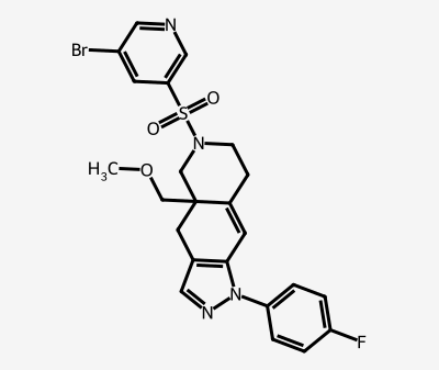 COCC12Cc3cnn(-c4ccc(F)cc4)c3C=C1CCN(S(=O)(=O)c1cncc(Br)c1)C2